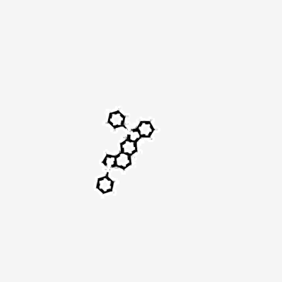 c1ccc(-n2ccc3c4cc5c(cc4ccc32)c2ccccc2n5-c2ccccc2)cc1